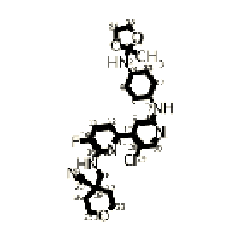 CC1(N[C@H]2CC[C@H](Nc3cc(-c4ccc(F)c(NCC5(C#N)CCOCC5)n4)c(Cl)cn3)CC2)OCCO1